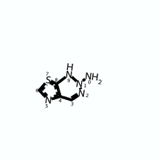 NN1N=Cc2ncsc2N1